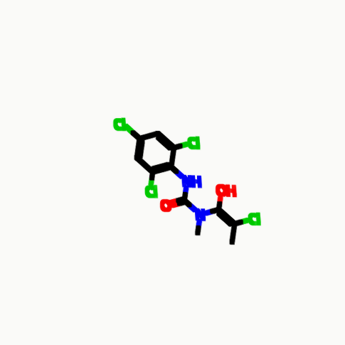 C/C(Cl)=C(/O)N(C)C(=O)Nc1c(Cl)cc(Cl)cc1Cl